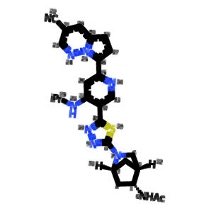 CC(=O)N[C@@H]1C[C@H]2C[C@@H]1CN2c1nnc(-c2cnc(-c3ccc4cc(C#N)cnn34)cc2NC(C)C)s1